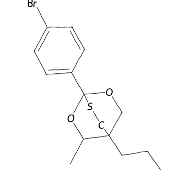 CCCC12COC(c3ccc(Br)cc3)(OC1C)SC2